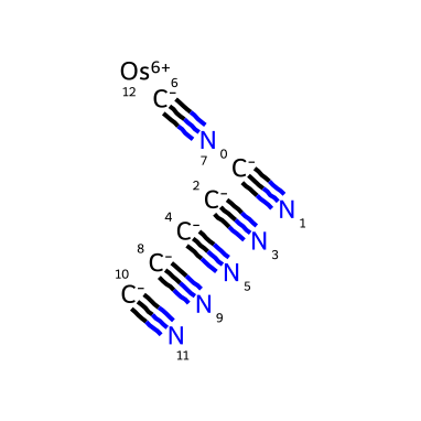 [C-]#N.[C-]#N.[C-]#N.[C-]#N.[C-]#N.[C-]#N.[Os+6]